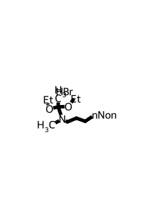 Br.CCCCCCCCCCCCN(C)C(C)(OCC)OCC